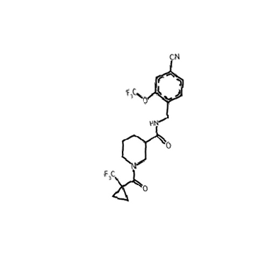 N#Cc1ccc(CNC(=O)C2CCCN(C(=O)C3(C(F)(F)F)CC3)C2)c(OC(F)(F)F)c1